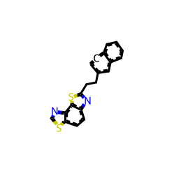 c1ccc2cc(CCc3nc4ccc5scnc5c4s3)ccc2c1